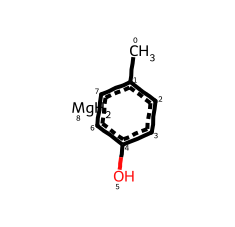 Cc1ccc(O)cc1.[MgH2]